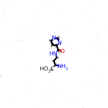 NC(CCNC(=O)c1ccncn1)C(=O)O